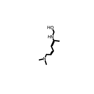 C/C(=C\C=C/CN(C)C)NCO